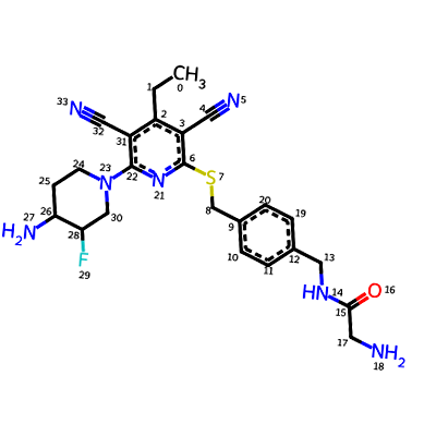 CCc1c(C#N)c(SCc2ccc(CNC(=O)CN)cc2)nc(N2CCC(N)C(F)C2)c1C#N